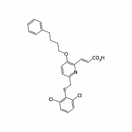 O=C(O)C=Cc1nc(CSc2c(Cl)cccc2Cl)ccc1OCCCCc1ccccc1